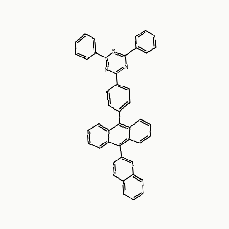 c1ccc(-c2nc(-c3ccccc3)nc(-c3ccc(-c4c5ccccc5c(-c5ccc6ccccc6c5)c5ccccc45)cc3)n2)cc1